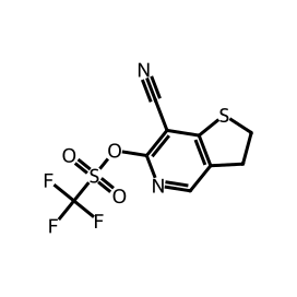 N#Cc1c(OS(=O)(=O)C(F)(F)F)ncc2c1SCC2